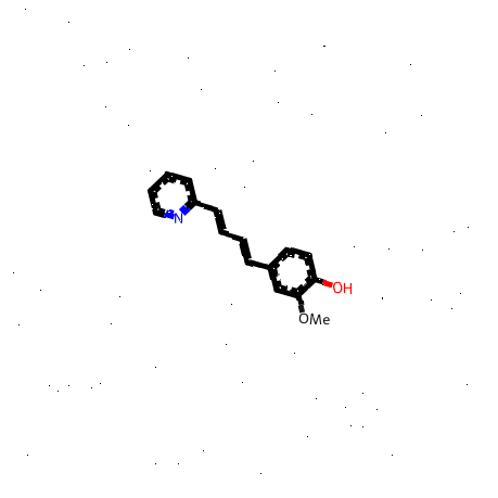 COc1cc(/C=C/C=C/c2ccccn2)ccc1O